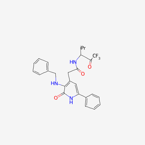 CC(C)C(NC(=O)Cc1cc(-c2ccccc2)[nH]c(=O)c1NCc1ccccc1)C(=O)C(F)(F)F